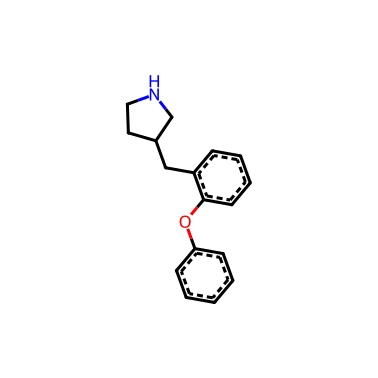 c1ccc(Oc2ccccc2CC2CCNC2)cc1